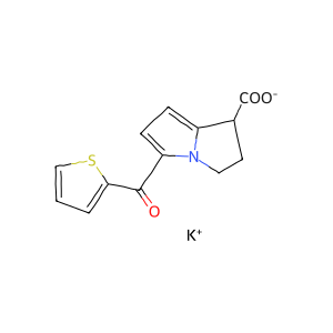 O=C(c1cccs1)c1ccc2n1CCC2C(=O)[O-].[K+]